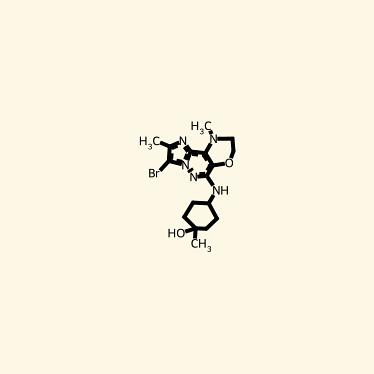 Cc1nc2c3c(c(NC4CCC(C)(O)CC4)nn2c1Br)OCCN3C